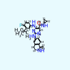 CC(C)(C)c1cc(Nc2nc(Nc3ccc4c(c3)CCNC43CC3)ncc2C(=O)NC2CC2)ccc1F